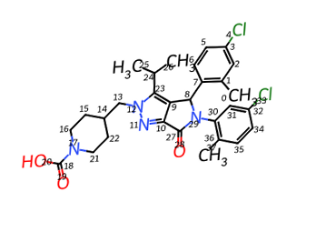 Cc1cc(Cl)ccc1C1c2c(nn(CC3CCN(C(=O)O)CC3)c2C(C)C)C(=O)N1c1cc(Cl)ccc1C